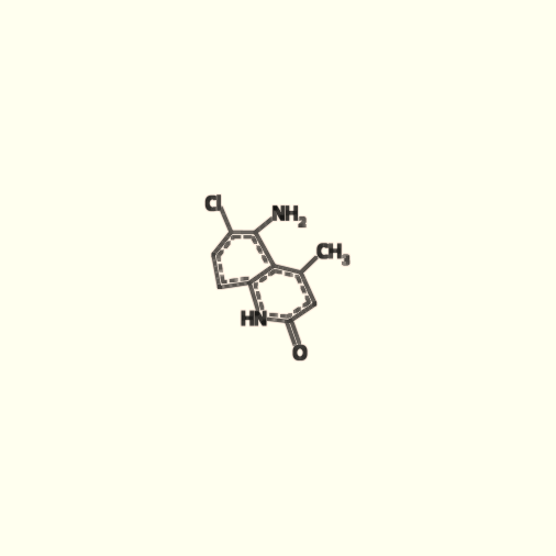 Cc1cc(=O)[nH]c2ccc(Cl)c(N)c12